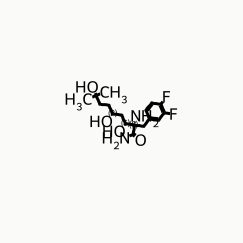 CC(C)(O)CC[C@@H](O)C[C@H](O)[C@@](N)(Cc1ccc(F)c(F)c1)C(N)=O